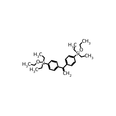 C=C(c1ccc([Si](CC)(CC)OCC)cc1)c1ccc([Si](CC)(CC)OCC)cc1